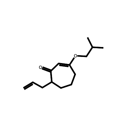 C=CCC1CCCC(OCC(C)C)=CC1=O